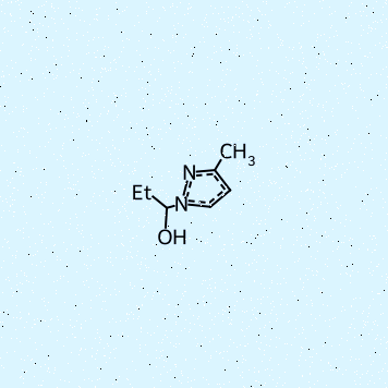 CCC(O)n1ccc(C)n1